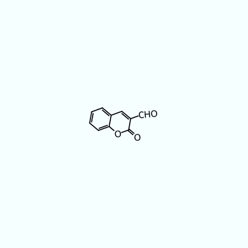 O=Cc1cc2ccccc2oc1=O